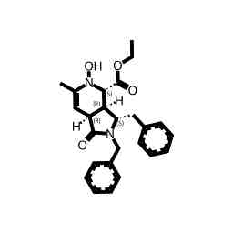 CCOC(=O)[C@@H]1[C@@H]2[C@H](C=C(C)N1O)C(=O)N(Cc1ccccc1)[C@H]2Cc1ccccc1